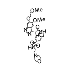 COCCOc1cc2ncnc(C3C(=O)Nc4ccc(S(=O)(=O)NCCN5CCOCC5)cc43)c2cc1OC.Cl